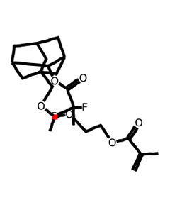 C=C(C)C(=O)OCCOC(C)OCC12CC3CC(C1)C(OC(=O)C(C)(F)F)C(C3)C2